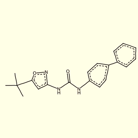 CC(C)(C)c1cc(NC(=O)Nc2ccc(-c3ccccc3)cc2)no1